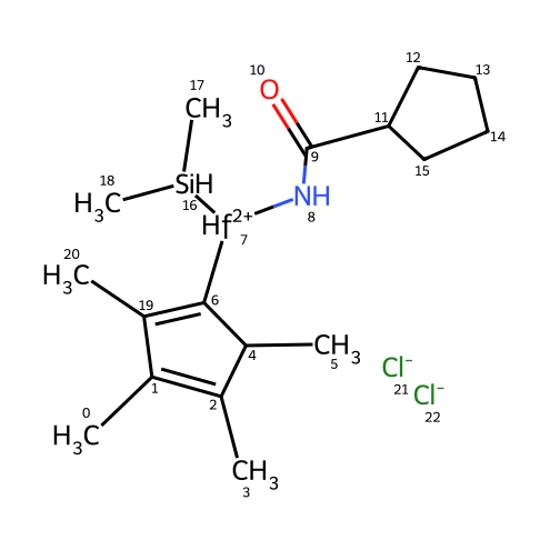 CC1=C(C)C(C)[C]([Hf+2]([NH]C(=O)C2CCCC2)[SiH](C)C)=C1C.[Cl-].[Cl-]